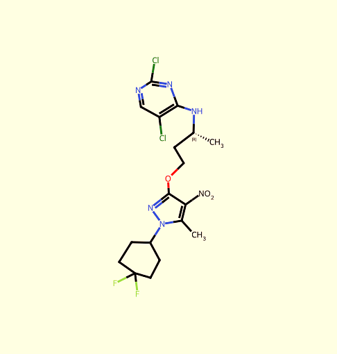 Cc1c([N+](=O)[O-])c(OCC[C@@H](C)Nc2nc(Cl)ncc2Cl)nn1C1CCC(F)(F)CC1